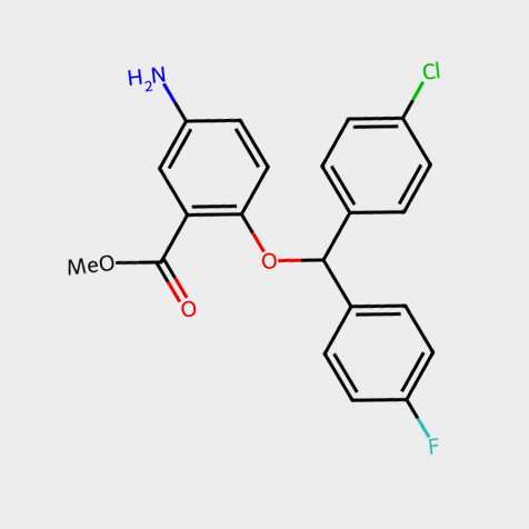 COC(=O)c1cc(N)ccc1OC(c1ccc(F)cc1)c1ccc(Cl)cc1